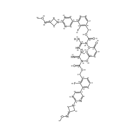 CON=C1CN(c2ncc(-c3cccc(COC(=O)N(OC(=O)/C=C\C(=O)ON(C(=N)N)C(=O)OCc4cccc(-c5cnc(N6CC(=NOC)C6)nc5)c4F)C(=N)N)c3F)cn2)C1